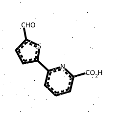 O=Cc1ccc(-c2cccc(C(=O)O)n2)s1